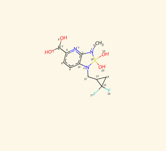 CN1c2nc(B(O)O)ccc2N(CC2CC2(F)F)S1(O)O